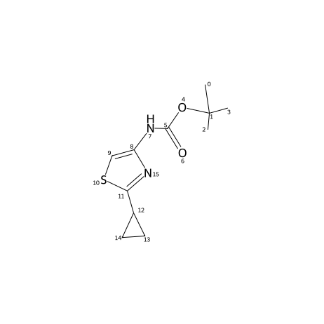 CC(C)(C)OC(=O)Nc1csc(C2CC2)n1